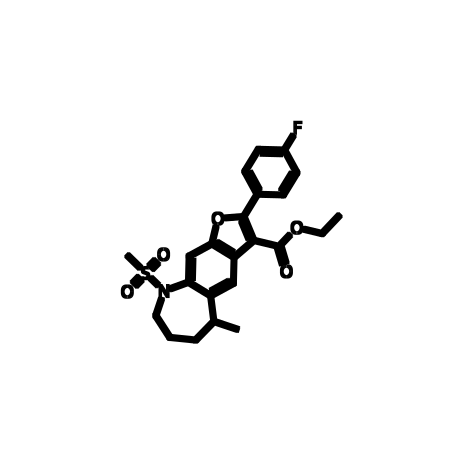 CCOC(=O)c1c(-c2ccc(F)cc2)oc2cc3c(cc12)C(C)CCCN3S(C)(=O)=O